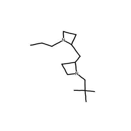 CCCN1CCC1CC1CCN1CC(C)(C)C